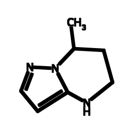 CC1CCNc2ccnn21